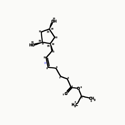 CC(C)OC(=O)CCC/C=C\C[C@@H]1C[C@H](O)C[C@@H]1O